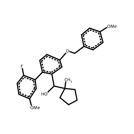 COc1ccc(COc2ccc(-c3cc(OC)ccc3F)c(C(O)C3(C)CCCC3)c2)cc1